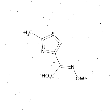 CON=C(C(=O)O)c1csc(C)n1